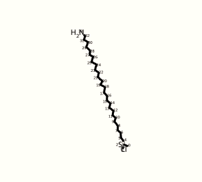 C[Si](C)(Cl)CCCCCCCCCCCCCCCCCCCCCCCCCCCCCN